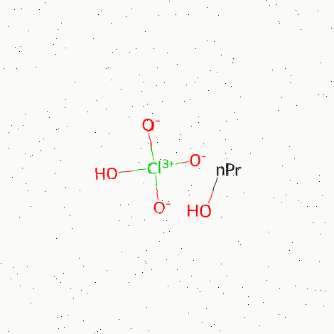 CCCO.[O-][Cl+3]([O-])([O-])O